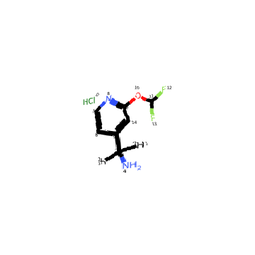 Cl.[2H]C([2H])(N)c1ccnc(OC(F)F)c1